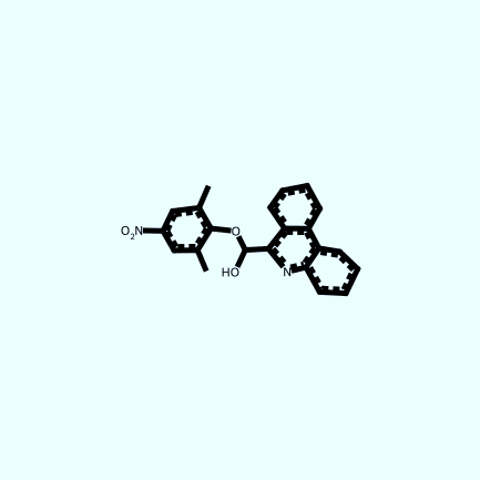 Cc1cc([N+](=O)[O-])cc(C)c1OC(O)c1nc2ccccc2c2ccccc12